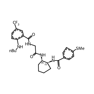 CCCCNc1ccc(C(F)(F)F)cc1C(=O)NCC(=O)N[C@@H]1CCCC[C@@H]1NC(=O)c1ccc(SC)cc1